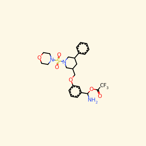 NC(OC(=O)C(F)(F)F)c1cccc(OCC2CC(c3ccccc3)CN(S(=O)(=O)N3CCOCC3)C2)c1